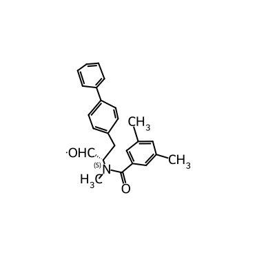 Cc1cc(C)cc(C(=O)N(C)[C@H]([C]=O)Cc2ccc(-c3ccccc3)cc2)c1